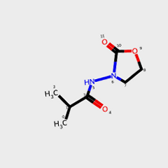 CC(C)C(=O)NN1CCOC1=O